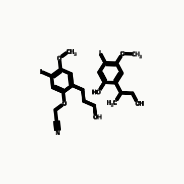 COc1cc(C(C)CO)c(O)cc1I.COc1cc(CCCO)c(OCC#N)cc1I